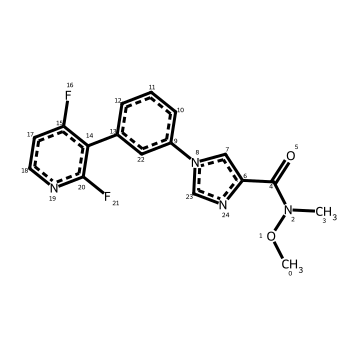 CON(C)C(=O)c1cn(-c2cccc(-c3c(F)ccnc3F)c2)cn1